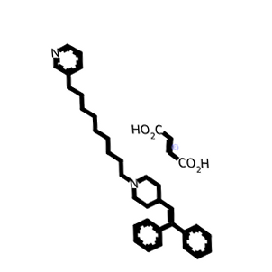 C(=C(c1ccccc1)c1ccccc1)C1CCN(CCCCCCCCCc2cccnc2)CC1.O=C(O)/C=C/C(=O)O